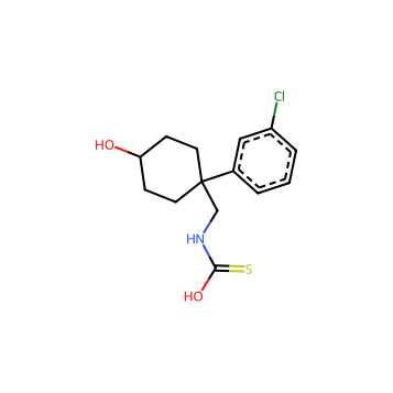 OC(=S)NCC1(c2cccc(Cl)c2)CCC(O)CC1